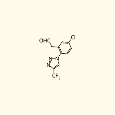 O=CCc1cc(Cl)ccc1-n1cc(C(F)(F)F)nn1